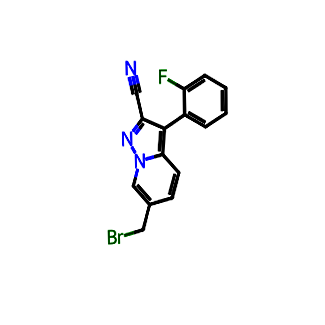 N#Cc1nn2cc(CBr)ccc2c1-c1ccccc1F